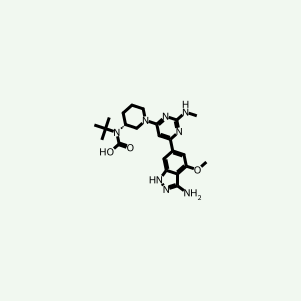 CNc1nc(-c2cc(OC)c3c(N)n[nH]c3c2)cc(N2CCC[C@@H](N(C(=O)O)C(C)(C)C)C2)n1